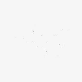 C[C@@H](CN)N(C)C(=O)[C@@H](CC(=O)OC(C)(C)C)Cc1ccc(F)c[n+]1[O-]